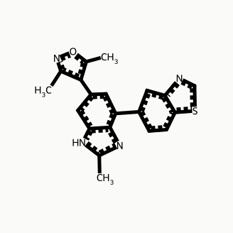 Cc1nc2c(-c3ccc4scnc4c3)cc(-c3c(C)noc3C)cc2[nH]1